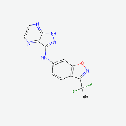 CC(C)(C)C(F)(F)c1noc2cc(Nc3n[nH]c4nccnc34)ccc12